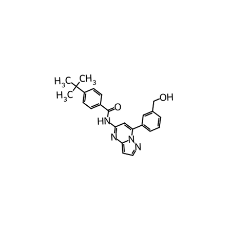 CC(C)(C)c1ccc(C(=O)Nc2cc(-c3cccc(CO)c3)n3nccc3n2)cc1